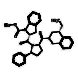 CC(C)(C)OC(=O)N1c2ccccc2C[C@@H]1C(=O)N1[C@@H](C(=O)N2Cc3ccccc3[C@@H](CC(=O)O)C2)CC[C@H]1c1ccccc1